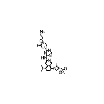 CC(C)c1ccc(N2C[C@H](CS(C)(=O)=O)[C@H]2C)c2cnc(Nc3ncnc(N4CC[C@H](OCCN(C)C)[C@H](F)C4)n3)cc12